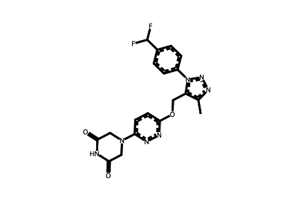 Cc1nnn(-c2ccc(C(F)F)cc2)c1COc1ccc(N2CC(=O)NC(=O)C2)nn1